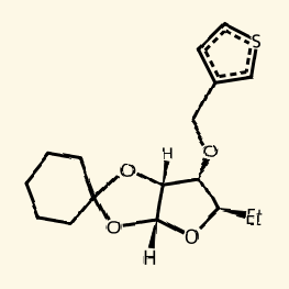 CC[C@H]1O[C@@H]2OC3(CCCCC3)O[C@@H]2[C@H]1OCc1ccsc1